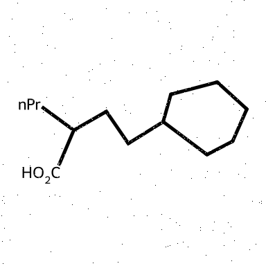 CCCC(CCC1CCCCC1)C(=O)O